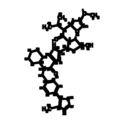 COc1cc(C(C(=O)N2C[C@H](O)C[C@H]2c2nc(C(=O)N(Cc3ccc(-c4scnc4C)cc3)C3CCCCC3)c[nH]2)C(C)C)on1